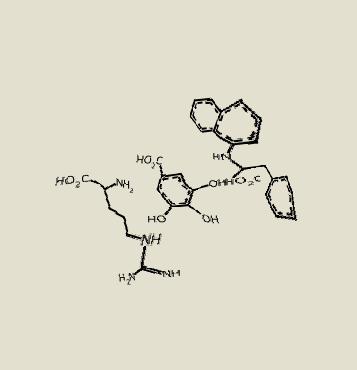 N=C(N)NCCCC(N)C(=O)O.O=C(O)C(Cc1ccccc1)Nc1cccc2ccccc12.O=C(O)c1cc(O)c(O)c(O)c1